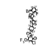 O=C(Cn1cc(C(F)(F)F)cc(Cl)c1=O)N1CCC(c2nc(C3=NOC(c4c(F)cccc4Br)C3)cs2)CC1